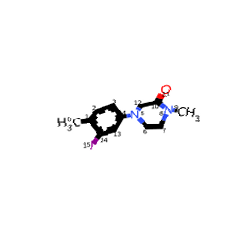 Cc1ccc(N2CCN(C)C(=O)C2)cc1I